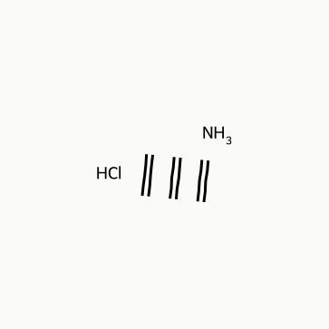 C=C.C=C.C=C.Cl.N